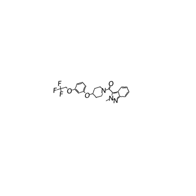 Cn1nc2ccccc2c1C(=O)N1CCC(Oc2cccc(OCC(F)(F)F)c2)CC1